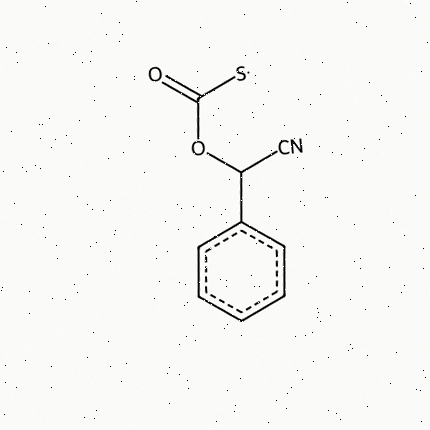 N#CC(OC(=O)[S])c1ccccc1